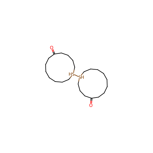 O=C1CCCCCCC[SH]([SH]2CCCCCCCCC(=O)CCC2)CCCC1